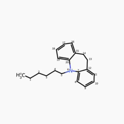 CCCCCCN1c2ccccc2CCc2ccccc21